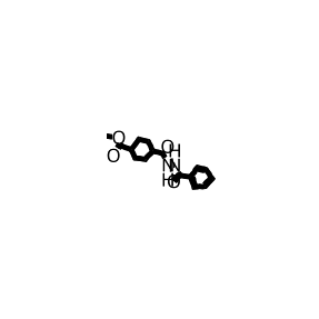 COC(=O)C1CCC(C(=O)NNC(=O)c2ccccc2)CC1